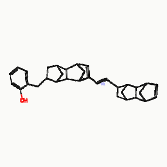 Oc1ccccc1CC1CC2CC1C1C3CC(C=C3/C=C/C3CC4CC3C3C5C=CC(C5)C43)C21